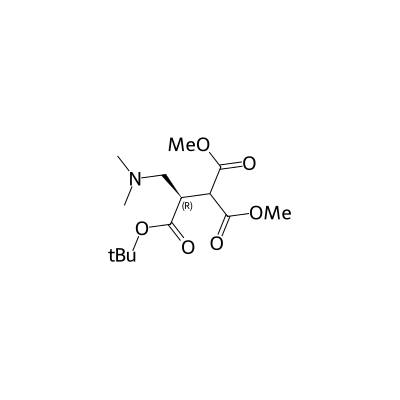 COC(=O)C(C(=O)OC)[C@H](CN(C)C)C(=O)OC(C)(C)C